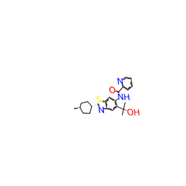 CC(C)(O)c1cc2nc([C@H]3CC[C@H](C)CC3)sc2cc1NC(=O)c1ccccn1